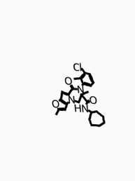 Cc1cc2c(cc3n2CC(C)(C(=O)NC2CCCCCC2)N(c2cccc(Cl)c2C)C3=O)o1